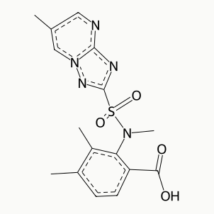 Cc1cnc2nc(S(=O)(=O)N(C)c3c(C(=O)O)ccc(C)c3C)nn2c1